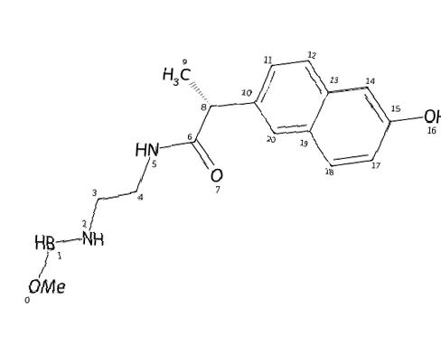 COBNCCNC(=O)[C@H](C)c1ccc2cc(O)ccc2c1